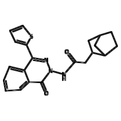 O=C(CC1CC2CCC1C2)Nn1nc(-c2cccs2)c2ccccc2c1=O